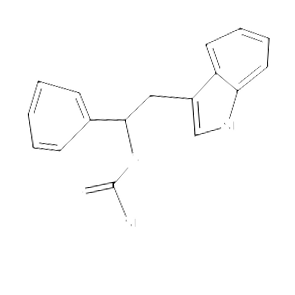 NC(=O)OC(Cc1c[nH]c2ccccc12)c1ccccc1